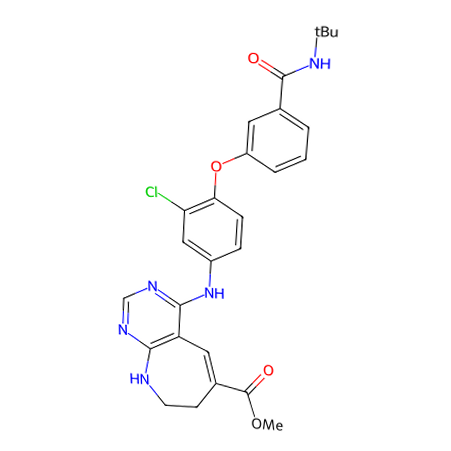 COC(=O)C1=Cc2c(ncnc2Nc2ccc(Oc3cccc(C(=O)NC(C)(C)C)c3)c(Cl)c2)NCC1